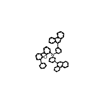 c1ccc(-c2cccc3c2oc2c(N(c4cccc(-c5cc6ccccc6c6ccccc56)c4)c4cccc(-c5cc6ccccc6c6ccccc56)c4)cccc23)cc1